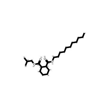 CCCCCCCCCCCOC(=O)C1CCCCC1C(=O)OCC(C)C